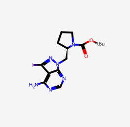 CC(C)(C)OC(=O)N1CCC[C@@H]1Cn1nc(I)c2c(N)ncnc21